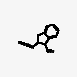 COC1c2ccccc2CC1N=[N+]=[N-]